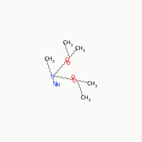 CCCCCCCCCCN(CCCn1ccnc1)C(CCCCCCCCCC(=O)OCC(CCCCCC)CCCCCCCC)CCCCCCCCCC(=O)OCC(CCCCCC)CCCCCCCCC